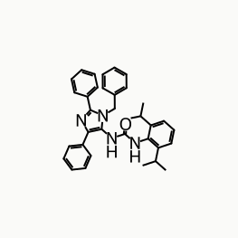 CC(C)c1cccc(C(C)C)c1NC(=O)Nc1c(-c2ccccc2)nc(-c2ccccc2)n1Cc1ccccc1